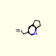 CC(C)(C)Cc1cnc2c(c1)CCC2